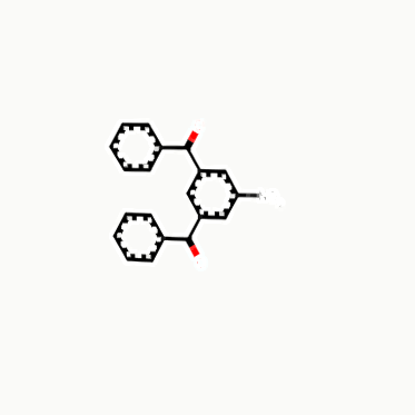 O=C(c1ccccc1)c1cc(C(=O)c2ccccc2)cc([N+](=O)[O-])c1